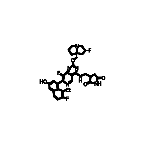 CCc1c(F)ccc2cc(O)cc(-c3ncc4c(NCC5CC(=O)NC5=O)nc(OC[C@@]56CCCN5C[C@H](F)C6)nc4c3F)c12